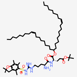 CCCCCCCC/C=C\CCCCCCCCC(CCCCCCC/C=C\CCCCCCCC)OC(=O)[C@H](CCC(=O)OC(C)(C)C)NC(=O)[C@@H](N)CCCNC(=N)NS(=O)(=O)c1c(C)c(C)c2c(c1C)CC(C)(C)O2